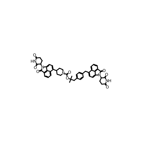 CC(C)(Cc1ccc(Cc2ccc3c4c(cccc24)C(=O)N3C2CCC(=O)NC2=O)cc1)OC(=O)N1CCC(c2ccc3c4c(cccc24)C(=O)N3C2CCC(=O)NC2=O)CC1